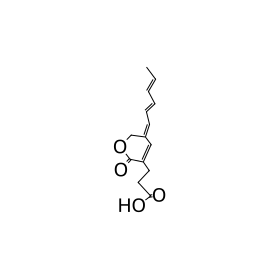 C/C=C/C=C/C=C1/C=C(CCC(=O)O)C(=O)OC1